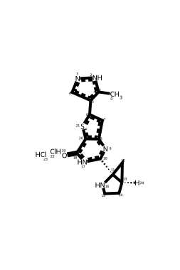 Cc1[nH]ncc1-c1cc2nc([C@]34C[C@H]3CCN4)[nH]c(=O)c2s1.Cl.Cl